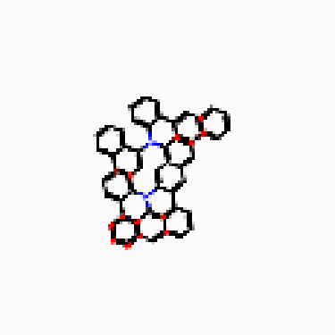 c1ccc(-c2cc(N(c3ccccc3-c3ccccc3)c3cccc4ccccc34)c3cc(N(c4ccccc4-c4ccccc4)c4cccc5ccccc45)c(-c4ccccc4)cc3c2)cc1